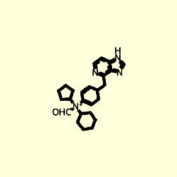 O=C[N+](C1=CCC(Cc2nccc3[nH]cnc23)C=C1)(C1CCCCC1)C1CCCC1